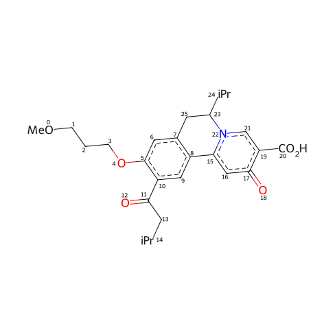 COCCCOc1cc2c(cc1C(=O)CC(C)C)-c1cc(=O)c(C(=O)O)cn1C(C(C)C)C2